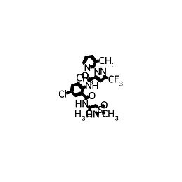 Cc1cccnc1-n1nc(C(F)(F)F)cc1C(=O)Nc1c(C)cc(Cl)cc1C(=O)NC(C)CS(C)(=N)=O